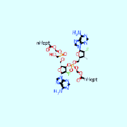 CCCCCCCC(=O)OCOP(=O)(CO)OC[C@H]1O[C@@H](n2cnc3c(N)ncnc32)[C@H](F)[C@@H]1OP(=O)(OCOC(=O)CCCCCCC)OC[C@H]1O[C@@H](n2cnc3c(N)ncnc32)[C@H](F)[C@@H]1C